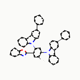 N#Cc1cc(-c2nc3ccccc3o2)c(-n2c3ccccc3c3cc(-c4ccccc4)ccc32)cc1-n1c2ccccc2c2cc(-c3ccccc3)ccc21